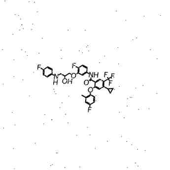 Cc1cc(F)ccc1Oc1cc(C2CC2)c(C(F)(F)F)cc1C(=O)Nc1ccc(F)c(OCC(O)CNc2ccc(F)cc2)c1